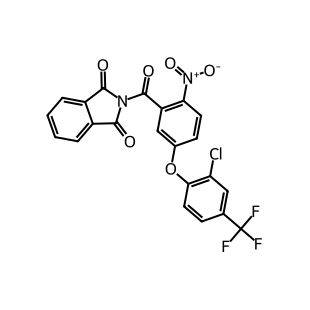 O=C1c2ccccc2C(=O)N1C(=O)c1cc(Oc2ccc(C(F)(F)F)cc2Cl)ccc1[N+](=O)[O-]